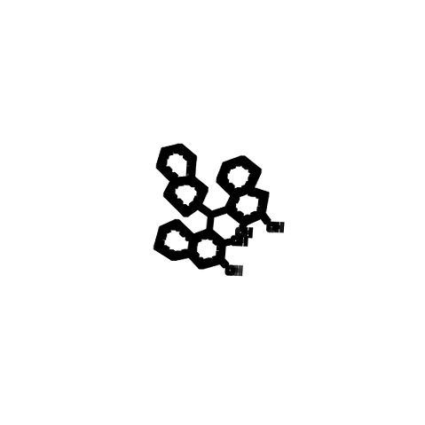 Oc1cc2ccccc2c(C(c2ccc3ccccc3c2)c2c(O)c(O)cc3ccccc23)c1O